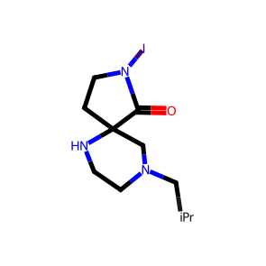 CC(C)CN1CCNC2(CCN(I)C2=O)C1